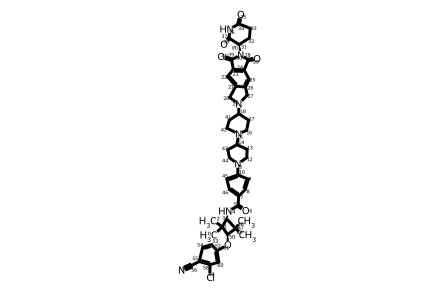 CC1(C)[C@H](NC(=O)c2ccc(N3CCC(N4CCC(N5Cc6cc7c(cc6C5)C(=O)N([C@@H]5CCC(=O)NC5=O)C7=O)CC4)CC3)cc2)C(C)(C)[C@H]1Oc1ccc(C#N)c(Cl)c1